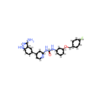 Nc1n[nH]c2ccc(-c3ccnc(NC(=O)Nc4cccc(OCc5ccc(F)cc5)c4)c3)cc12